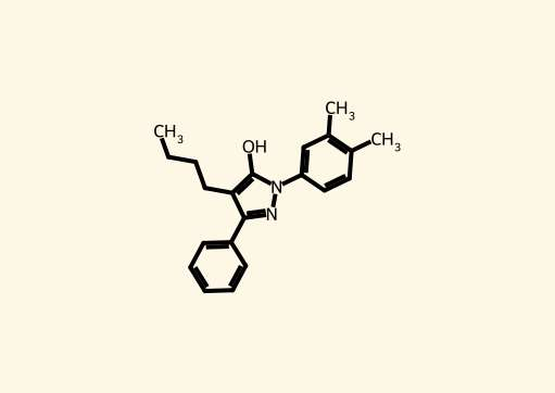 CCCCc1c(-c2ccccc2)nn(-c2ccc(C)c(C)c2)c1O